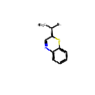 CCC(C(=O)O)C1C=Nc2ccccc2S1